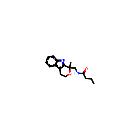 CCCC(=O)NCC1(C)OCCc2c1[nH]c1ccccc21